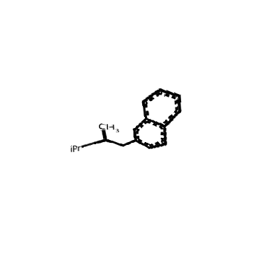 [CH2]C(C)C(C)Cc1ccc2ccccc2c1